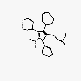 CN(C)CCC1=C(C2CCCCC2)C(C2CCCCC2)=[C]([Ti]([CH3])[CH3])C1C1CCCCC1